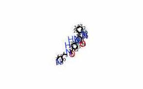 O=C(NCCc1ccncc1)c1ccc(-n2[nH]c3c(nnc4ccccc43)c2=O)cc1